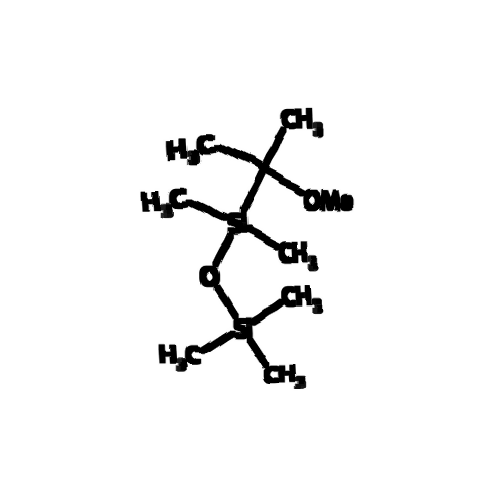 COC(C)(C)[Si](C)(C)O[Si](C)(C)C